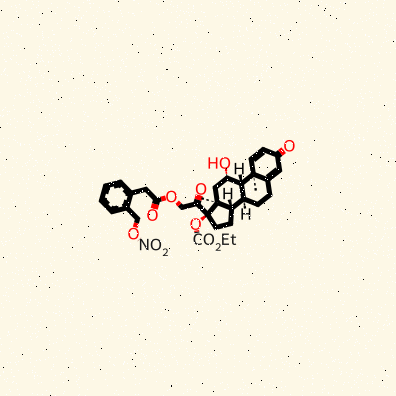 CCOC(=O)O[C@]1(C(=O)COC(=O)Cc2ccccc2CO[N+](=O)[O-])CC[C@H]2[C@@H]3CCC4=CC(=O)C=C[C@]4(C)[C@H]3[C@@H](O)C[C@@]21C